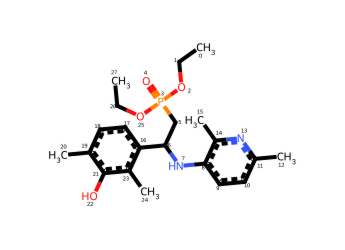 CCOP(=O)(CC(Nc1ccc(C)nc1C)c1ccc(C)c(O)c1C)OCC